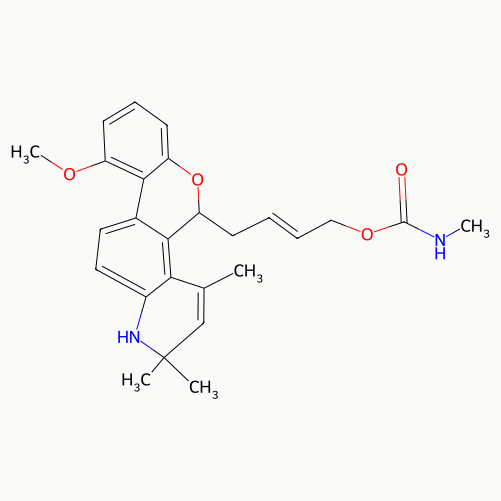 CNC(=O)OCC=CCC1Oc2cccc(OC)c2-c2ccc3c(c21)C(C)=CC(C)(C)N3